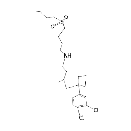 CCCCS(=O)(=O)CCCCNCCC(C)CC1(c2ccc(Cl)c(Cl)c2)CCC1